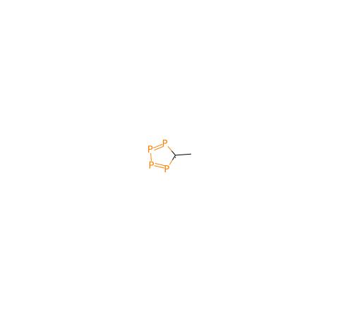 C[C]1P=PP=P1